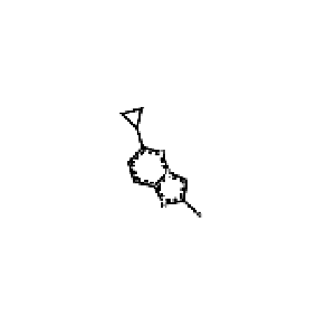 Brc1cn2nc(C3CC3)ccc2n1